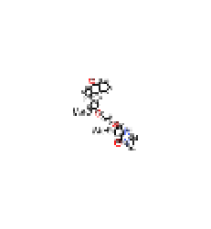 COc1ccc(C=C2c3ccccc3C(=O)c3ccccc32)cc1OCCCCOc1cc2c(cc1OC)C(=O)N1CCC[C@H]1C=N2